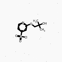 CC(C)(O)COc1cc(S(=O)(=O)Cl)ccn1